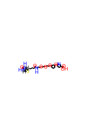 O=C(CCCC[C@@H]1SC[C@@H]2NC(=O)N[C@@H]21)NCCOCCOCCOc1cccc(Oc2ccc(C(=O)O)cn2)c1